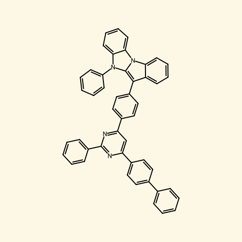 c1ccc(-c2ccc(-c3cc(-c4ccc(-c5c6ccccc6n6c7ccccc7n(-c7ccccc7)c56)cc4)nc(-c4ccccc4)n3)cc2)cc1